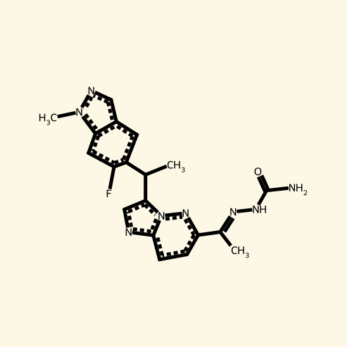 CC(=NNC(N)=O)c1ccc2ncc(C(C)c3cc4cnn(C)c4cc3F)n2n1